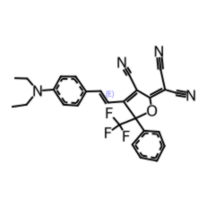 CCN(CC)c1ccc(/C=C/C2=C(C#N)C(=C(C#N)C#N)OC2(c2ccccc2)C(F)(F)F)cc1